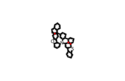 c1ccc(-c2ccc(-c3cccc4ccccc34)cc2N(c2ccc3sc4ccccc4c3c2)c2cccc3oc4ccccc4c23)cc1